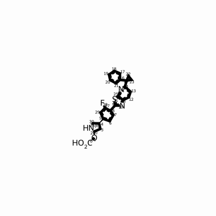 O=C(O)O[C@@H]1C[C@H](c2ccc(-c3nc4ccc(C5(c6ccccc6)CC5)nc4s3)c(F)c2)CN1